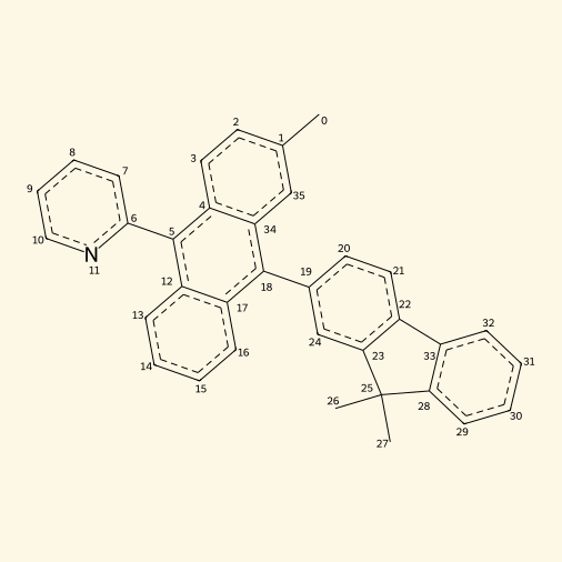 Cc1ccc2c(-c3ccccn3)c3ccccc3c(-c3ccc4c(c3)C(C)(C)c3ccccc3-4)c2c1